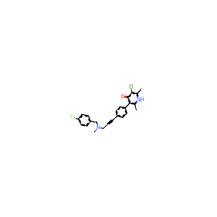 Cc1[nH]c(C)c(-c2ccc(C#CCN(C)Cc3ccc(F)cc3)cc2)c(=O)c1Cl